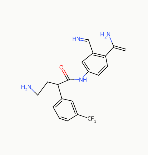 C=C(N)c1ccc(NC(=O)C(CCN)c2cccc(C(F)(F)F)c2)cc1C=N